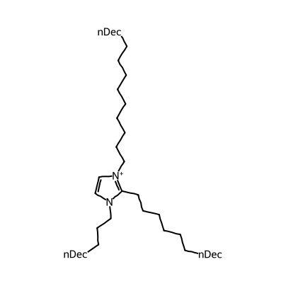 CCCCCCCCCCCCCCCCCCC[n+]1ccn(CCCCCCCCCCCCC)c1CCCCCCCCCCCCCCCC